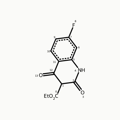 CCOC(=O)C1C(=O)Nc2cc(F)ccc2C1=O